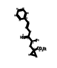 CCOC(=O)C1(C[C@H](F)C(=N)CC=Cc2ccccc2)CC1